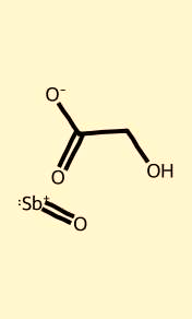 O=C([O-])CO.[O]=[Sb+]